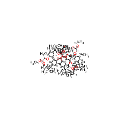 CCOC(=O)COc1c(C)cc(C(C)(C)C(C)(C)C)cc1-c1cc(C(C)(C)C(C)(C)C)cc(-c2cc(C(C)(C)C(C)(C)C)cc(-c3cc(C(C)(C)C(C)(C)C)cc(-c4cc(C(C)(C)C(C)(C)C)cc(CC)c4OCC(=O)OCC)c3OCC(=O)OCC)c2OCC(=O)OCC)c1OCC(=O)OCC